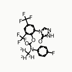 [2H]C([2H])([2H])N(C(=O)Oc1c(-n2cn[nH]c2=O)cc(C(F)(F)F)cc1C(F)(F)F)c1ccc(F)cc1